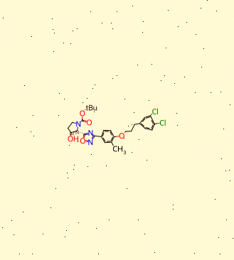 Cc1cc(-c2noc([C@@H]3[C@@H](O)CCN3C(=O)OC(C)(C)C)n2)ccc1OCCCc1ccc(Cl)c(Cl)c1